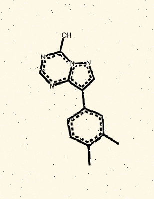 Cc1ccc(-c2cnn3c(O)ncnc23)cc1C